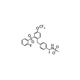 C[C@H](NS(C)(=O)=O)c1ccc(Cc2ccc(OC(F)(F)F)cc2S(=O)(=O)c2ccccc2F)cc1